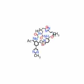 C/C=C/c1noc(C[C@@]23C[C@@H](C(=O)Nc4nc(Br)ccc4COCC)N(C(=O)Cn4nc(C(C)=O)c5cc(-c6cnc(C)nc6)cc(C)c54)[C@@H]2C3)n1